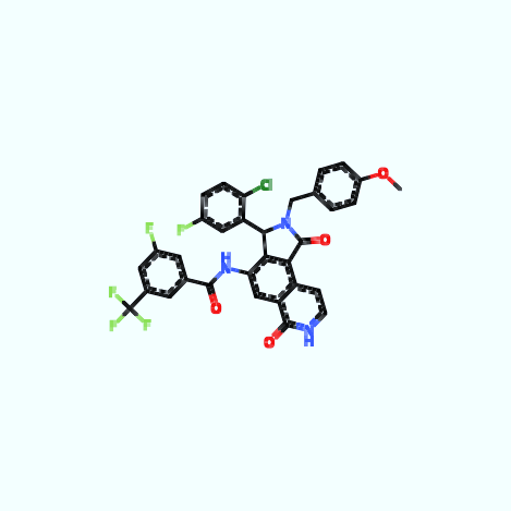 COc1ccc(CN2C(=O)c3c(c(NC(=O)c4cc(F)cc(C(F)(F)F)c4)cc4c(=O)[nH]ccc34)C2c2cc(F)ccc2Cl)cc1